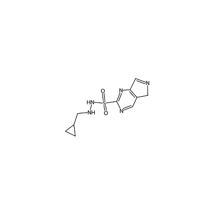 O=S(=O)(NNCC1CC1)c1ncc2c(n1)C=NC2